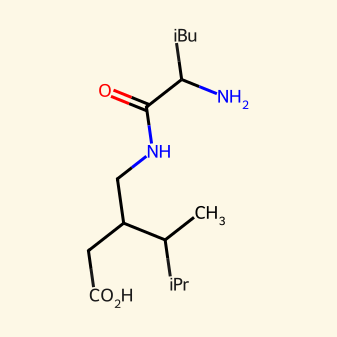 CCC(C)C(N)C(=O)NCC(CC(=O)O)C(C)C(C)C